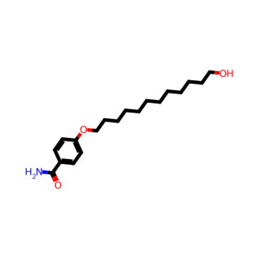 NC(=O)c1ccc(OCCCCCCCCCCCCO)cc1